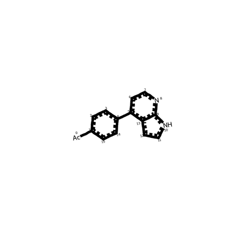 CC(=O)c1ccc(-c2ccnc3[nH]ccc23)cc1